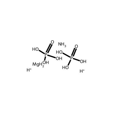 N.O=P(O)(O)O.O=P(O)(O)O.[H+].[H+].[MgH2]